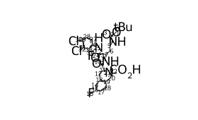 CC(C)(C)OC(=O)NCCC(NC(=O)[C@@H]1Cc2cc(F)ccc2CN1C(=O)O)C(=O)Nc1ccc(Cl)c(Cl)c1F